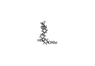 COc1ccc2[nH]c3c(c2c1)CN(c1ccc2nc(N(C)C)oc2c1)CC3